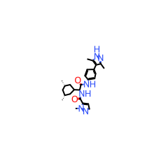 Cc1n[nH]c(C)c1-c1ccc(NC(=O)C(NC(=O)c2ccnn2C)C2C[C@@H](C)C[C@@H](C)C2)cc1